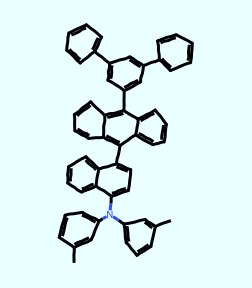 Cc1cccc(N(c2cccc(C)c2)c2ccc(-c3c4ccccc4c(-c4cc(-c5ccccc5)cc(-c5ccccc5)c4)c4ccccc34)c3ccccc23)c1